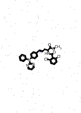 COC(=O)C(C/C=C/c1ccc(N(c2ccccc2)c2ncccn2)cc1)NC(=O)c1c(Cl)cccc1Cl